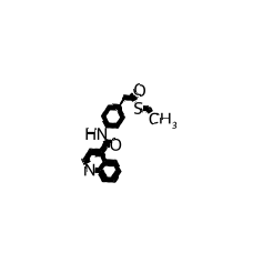 CCSC(=O)C[C@H]1CC[C@H](NC(=O)c2ccnc3ccccc23)CC1